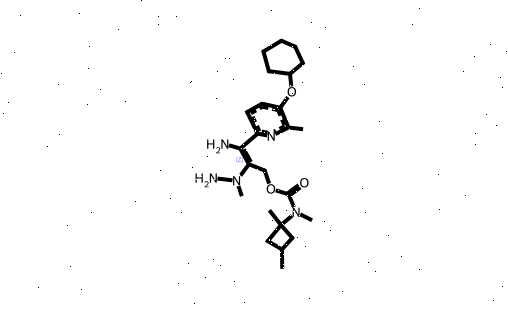 Cc1nc(/C(N)=C(\COC(=O)N(C)C2(C)CC(C)C2)N(C)N)ccc1OC1CCCCC1